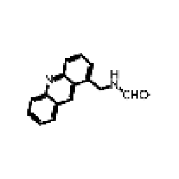 O=[C]NCc1cccc2nc3ccccc3cc12